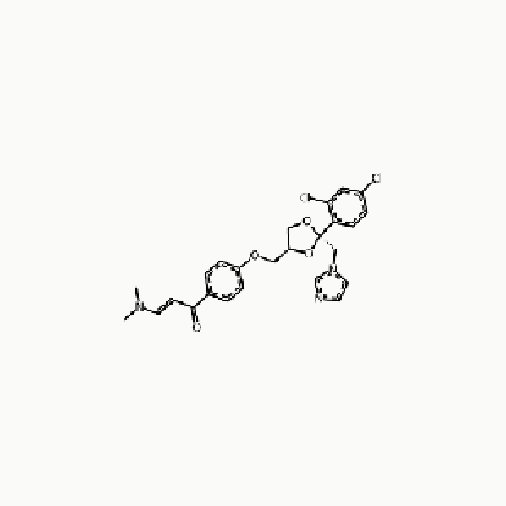 CN(C)C=CC(=O)c1ccc(OC[C@H]2CO[C@@](Cn3ccnc3)(c3ccc(Cl)cc3Cl)O2)cc1